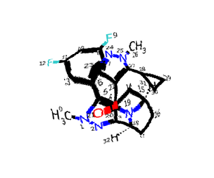 Cn1nc2c(c1-c1cc(F)cc(F)c1)C[C@H]1CC[C@@H]2N1C(=O)c1cnn(C)c1C1CC1